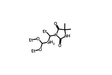 CCOC(OCC)[SiH2]C(CC)N1C(=O)NC(C)(C)C1=O